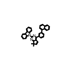 CC1(C)C=Cc2c(-c3cccc(-c4cccc5ccccc45)c3)nc(-n3c4ccccc4c4ccccc43)nc21